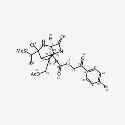 CSC(Br)C1(Cl)N[C@H]2C(=O)N3C(C(=O)OCC(=O)c4ccc(Br)cc4)=C(COC(C)=O)C1S[C@@H]23